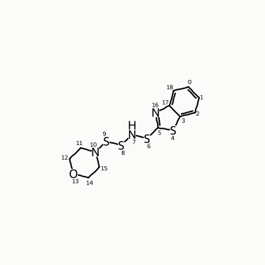 c1ccc2sc(SNSSN3CCOCC3)nc2c1